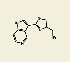 CC(C)CC1CSC(c2c[nH]c3ccncc23)=N1